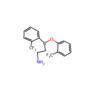 NCCB(Oc1ccccc1C(F)(F)F)c1ccccc1C(F)(F)F